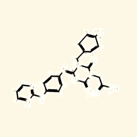 O=C(O)Cn1c(=O)[nH]/c(=N\c2ccc(Oc3ncccn3)cc2)n(Cc2ccc(Cl)cc2)c1=O